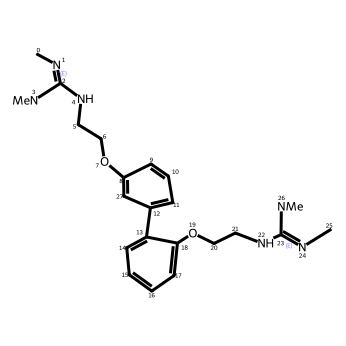 C/N=C(\NC)NCCOc1cccc(-c2ccccc2OCCN/C(=N/C)NC)c1